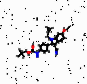 CCOc1ccc2c(C#N)c(-c3ccc(NC(=O)OCC(C)(C)C)cc3)n(CC3CC3)c2c1